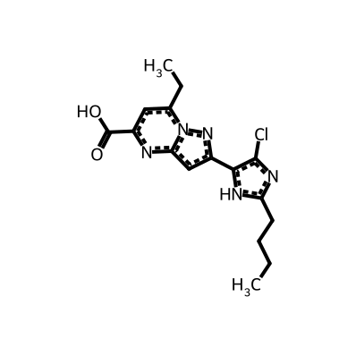 CCCCc1nc(Cl)c(-c2cc3nc(C(=O)O)cc(CC)n3n2)[nH]1